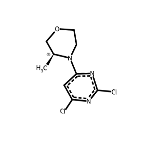 C[C@H]1COCCN1c1cc(Cl)nc(Cl)n1